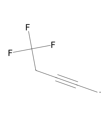 [CH2]C#CCC(F)(F)F